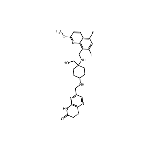 COc1ccc2c(F)cc(F)c(CNC3(CO)CCC(NCc4cnc5c(n4)NC(=O)CS5)CC3)c2n1